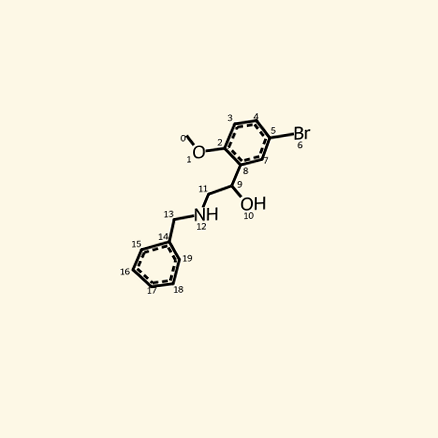 COc1ccc(Br)cc1C(O)CNCc1ccccc1